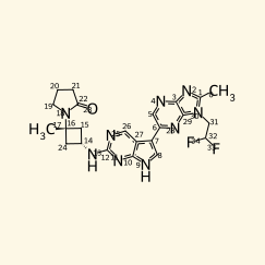 Cc1nc2ncc(-c3c[nH]c4nc(N[C@H]5C[C@@](C)(N6CCCC6=O)C5)ncc34)nc2n1CC(F)F